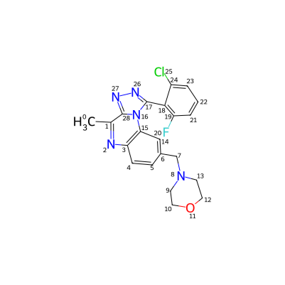 Cc1nc2ccc(CN3CCOCC3)cc2n2c(-c3c(F)cccc3Cl)nnc12